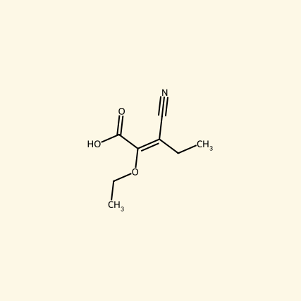 CCO/C(C(=O)O)=C(/C#N)CC